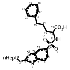 CCCCCCCSc1nc2ccc(S(=O)(=O)NC(CCCc3ccccc3)C(=O)O)cc2s1